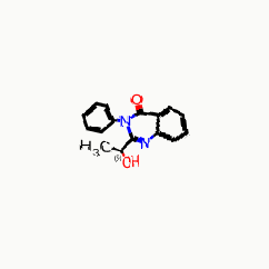 C[C@H](O)c1nc2ccccc2c(=O)n1-c1ccccc1